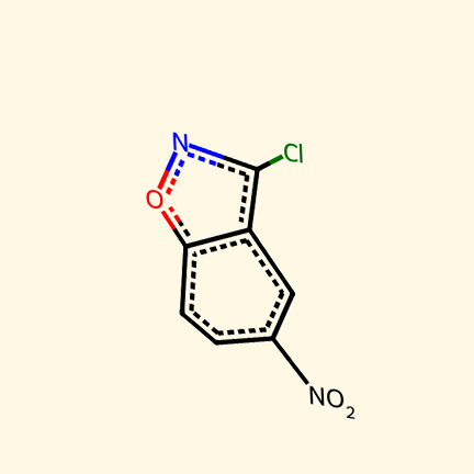 O=[N+]([O-])c1ccc2onc(Cl)c2c1